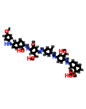 COc1ccc(Nc2ccc3c(O)c(N=Nc4cc(CO)c(N=Nc5ccc(N=Nc6ccc(N=Nc7ccc8cccc(S(=O)(=O)O)c8c7)c(CO)c6)c(C)c5)cc4OC)ccc3c2)cc1